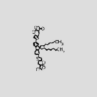 CCCCCCCCC1(CCCCCCCC)c2cc(-c3ccc(/C=C4/C(=O)COC4=O)s3)ccc2-c2ccc(-c3ccc(/C=C4/C(=O)COC4=O)s3)cc21